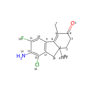 CCCC12CCC(=O)C(C)=C1c1cc(F)c(N)c(Cl)c1C2